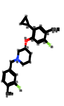 COc1ccc(CN2CCC[C@@H](Oc3cc(F)c(C(=O)O)cc3C3CC3)C2)cc1F